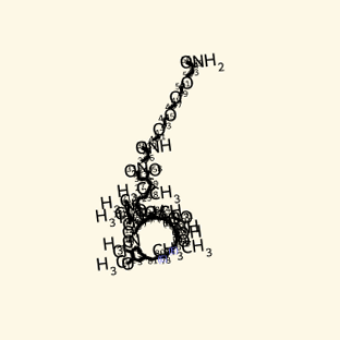 COc1cc2cc(c1Cl)N(C)C(=O)C[C@H](OC(=O)[C@H](C)N(C)C(=O)CCC(C)(C)SC1CC(=O)N(CCC(=O)NCCOCCOCCOCCOCCC(N)=O)C1=O)[C@]1(C)O[C@H]1[C@H](C)[C@@H]1C[C@@](O)(NC(=O)O1)[C@H](OC)/C=C/C=C(\C)C2